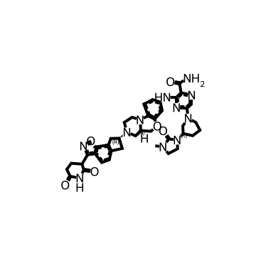 CN1CCN([C@@H]2CCCN(c3cnc(C(N)=O)c(Nc4ccc5c(c4)OC[C@H]4CN([C@@H]6Cc7ccc8c(C9CCC(=O)NC9=O)noc8c7C6)CCN54)n3)C2)C1=O